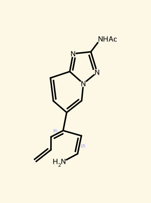 C=C/C=C(\C=C/N)c1ccc2nc(NC(C)=O)nn2c1